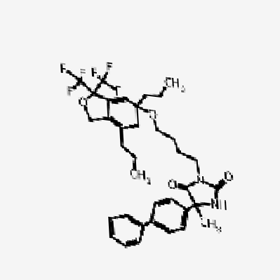 CCCC1=C2COC(C(F)(F)F)(C(F)(F)F)C2=CC(CCC)(OCCCCN2C(=O)NC(C)(c3ccc(-c4ccccc4)cc3)C2=O)C1